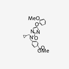 COC(=O)c1ccc(CN(CC2CC2)C(=O)c2ncc(Oc3ccccc3OC)cn2)cc1